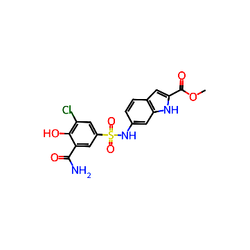 COC(=O)c1cc2ccc(NS(=O)(=O)c3cc(Cl)c(O)c(C(N)=O)c3)cc2[nH]1